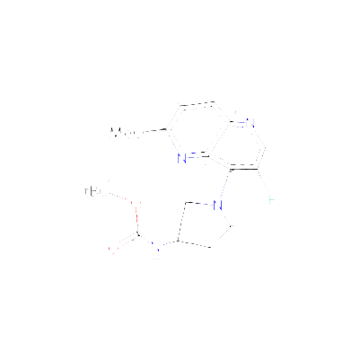 COc1ccc2ncc(F)c(N3CCC(NC(=O)OC(C)(C)C)C3)c2n1